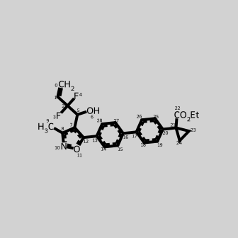 C=CC(F)(F)C(O)c1c(C)noc1-c1ccc(-c2ccc(C3(C(=O)OCC)CC3)cc2)cc1